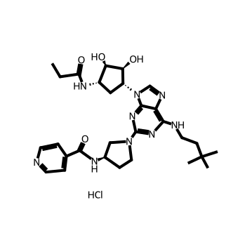 CCC(=O)N[C@H]1C[C@@H](n2cnc3c(NCCC(C)(C)C)nc(N4CC[C@@H](NC(=O)c5ccncc5)C4)nc32)[C@H](O)[C@@H]1O.Cl